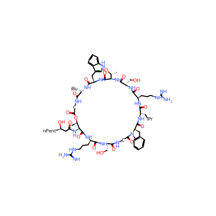 CCCCC[C@@H](O)CC(=O)N[C@@H]1C(=O)N[C@H](CCCNC(=N)N)C(=O)N[C@@H](CO)C(=O)NCC(=O)N(C)[C@H](Cc2ccccc2)C(=O)N[C@@H](CC(C)C)C(=O)N[C@H](CCCNC(=N)N)C(=O)N[C@@H](CO)C(=O)N[C@H]([C@@H](C)O)C(=O)N[C@H](Cc2c[nH]c3ccccc23)C(=O)N[C@@H]([C@@H](C)CC)C(=O)NCC(=O)O[C@@H]1C